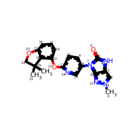 Cn1cc2[nH]c(=O)n(-c3ccc(Oc4cccc5c4C(C)(C)CO5)nc3)c2n1